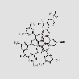 Cc1nc(C)nc(-c2ccc3c(c2)c2cc(-c4nc(C)nc(C)n4)ccc2n3-c2ccc(C#N)cc2-c2cc(-c3ccc(C(F)(F)F)cc3C(F)(F)F)ccc2-n2c3ccc(-c4nc(C)nc(C)n4)cc3c3cc(-c4nc(C)nc(C)n4)ccc32)n1